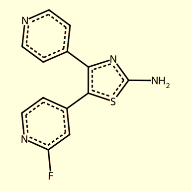 Nc1nc(-c2ccncc2)c(-c2ccnc(F)c2)s1